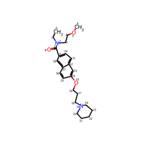 CCN(CCOC)C(=O)c1ccc2cc(OCCCN3CCCCC3)ccc2c1